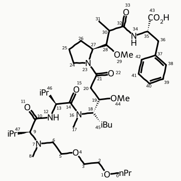 CCCOCCOCCN(C)[C@H](C(=O)N[C@H](C(=O)N(C)[C@H](C(CC(=O)N1CCC[C@H]1C(OC)C(C)C(=O)N[C@@H](Cc1ccccc1)C(=O)O)OC)[C@@H](C)CC)C(C)C)C(C)C